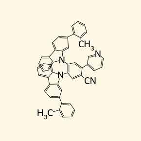 Cc1ccccc1-c1ccc2c3ccccc3n(-c3cc(C#N)c(-c4cccnc4)cc3-n3c4ccccc4c4ccc(-c5ccccc5C)cc43)c2c1